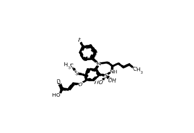 CCCCC1CN(c2ccc(F)cc2)c2cc(SC)c(O/C=C/C(=O)O)cc2S(O)(O)N1